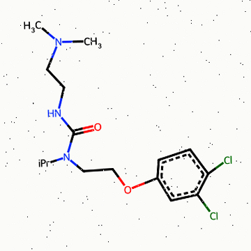 CC(C)N(CCOc1ccc(Cl)c(Cl)c1)C(=O)NCCN(C)C